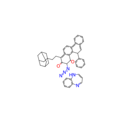 C1=CNc2ccccc2N=C1.[N-]=[N+]=NC1C(=O)C(CCC23CC4CC(CC(C4)C2)C3)=c2ccc3c(c2C1=O)C(c1ccccc1)C=c1ccccc1=3